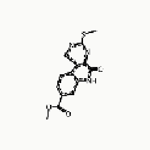 COC(=O)c1ccc2c(c1)[nH]c(=O)c1nc(SC)ncc12